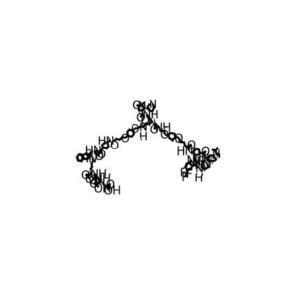 CC(C)N(C)[C@@H]1CC[C@H](N2CC[C@H](Nc3ncnc4ccc(C(F)(F)F)cc34)C2=O)[C@H](NC(=O)C2CCC(NC(=O)CCCOC3CCC(OCCNC(=O)CN(CCNC(=O)[C@H]4CC(=O)N(C)[C@@H]4c4cccnc4)CC(=O)NCCOC4CCC(OCCCC(=O)NC5CCC(C(=O)N[C@@H](Cc6ccc7ccccc7c6)C(=O)NCCCC[C@H](NC(=O)N[C@@H](CCC(=O)O)C(=O)O)C(=O)O)CC5)CC4)CC3)CC2)C1